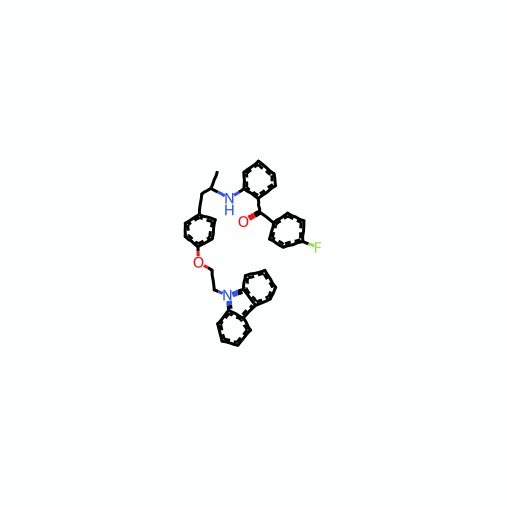 CC(Cc1ccc(OCCn2c3ccccc3c3ccccc32)cc1)Nc1ccccc1C(=O)c1ccc(F)cc1